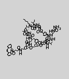 CCCCCCN(C(=O)[C@@H](NC(=O)[C@@]1(C)CCCN1C(=O)OCc1ccc(NC(=O)[C@H](CCCNC(N)=O)NC(=O)[C@@H](NC(=O)CCOCCOCCOCCOCCNC(=O)CCC(=O)N2Cc3ccccc3C#Cc3ccccc32)C(C)C)cc1)[C@@H](C)CC)[C@H](C[C@@H](OC(C)=O)c1nc(C(=O)N[C@@H](Cc2ccc(O)cc2)CC(C)(C)C(=O)O)cs1)C(C)C